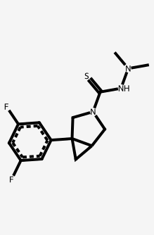 CN(C)NC(=S)N1CC2CC2(c2cc(F)cc(F)c2)C1